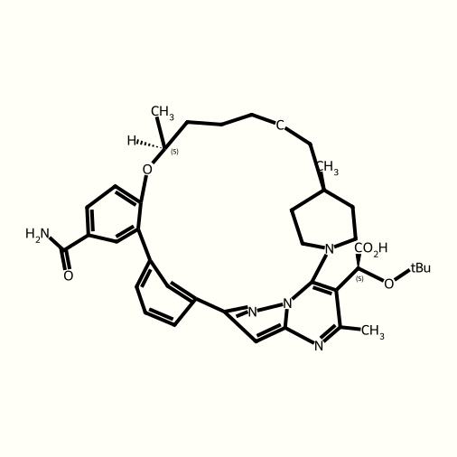 Cc1nc2cc3nn2c(c1[C@H](OC(C)(C)C)C(=O)O)N1CCC(C)(CCCCC[C@H](C)Oc2ccc(C(N)=O)cc2-c2cccc-3c2)CC1